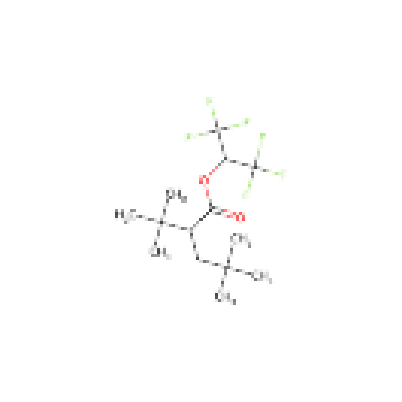 CC(C)(C)CC(C(=O)OC(C(F)(F)F)C(F)(F)F)C(C)(C)C